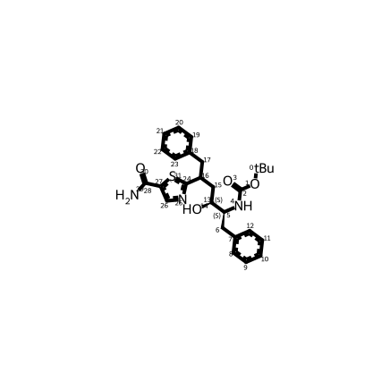 CC(C)(C)OC(=O)N[C@@H](Cc1ccccc1)[C@@H](O)CC(Cc1ccccc1)c1ncc(C(N)=O)s1